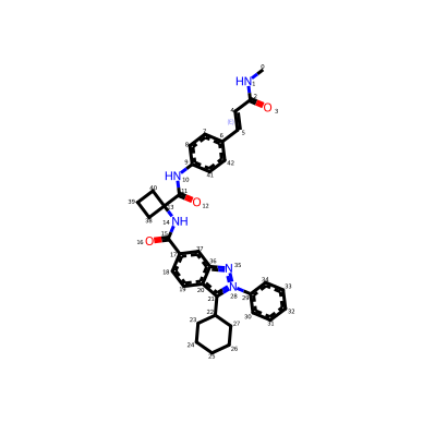 CNC(=O)/C=C/c1ccc(NC(=O)C2(NC(=O)c3ccc4c(C5CCCCC5)n(-c5ccccc5)nc4c3)CCC2)cc1